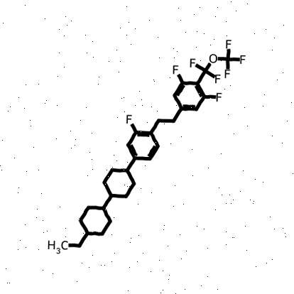 CCC1CCC(C2CCC(c3ccc(CCc4cc(F)c(C(F)(F)OC(F)(F)F)c(F)c4)c(F)c3)CC2)CC1